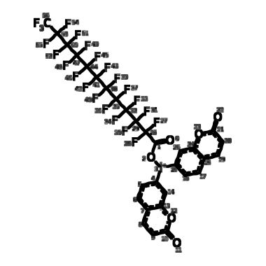 O=C(O[I+](c1ccc2ccc(=O)oc2c1)c1ccc2ccc(=O)oc2c1)C(F)(F)C(F)(F)C(F)(F)C(F)(F)C(F)(F)C(F)(F)C(F)(F)C(F)(F)C(F)(F)C(F)(F)C(F)(F)F